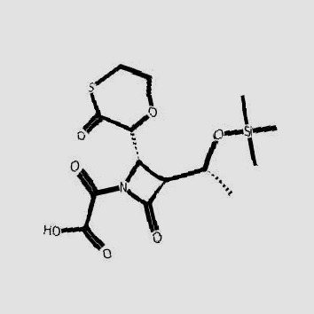 C[C@@H](O[Si](C)(C)C)[C@H]1C(=O)N(C(=O)C(=O)O)[C@@H]1C1OCCSC1=O